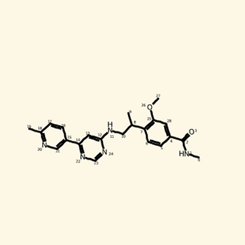 CNC(=O)c1ccc(C(C)CNc2cc(-c3ccc(C)nc3)ncn2)c(OC)c1